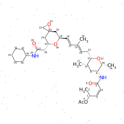 CC(=O)OC(C)/C=C\C(=O)N[C@@H]1C[C@H](C)[C@H](C/C=C(C)/C=C/[C@@H]2C[C@]3(CO3)C[C@@H](CC(=O)NC3CCCCC3)O2)O[C@@H]1C